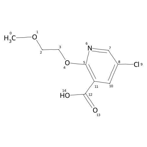 COCCOc1ncc(Cl)cc1C(=O)O